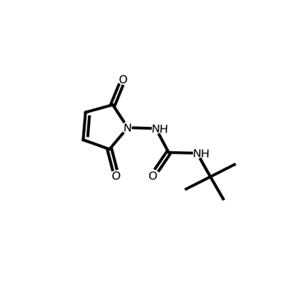 CC(C)(C)NC(=O)NN1C(=O)C=CC1=O